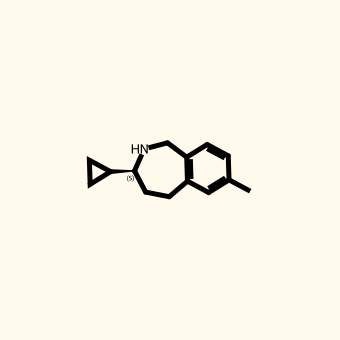 Cc1ccc2c(c1)CC[C@@H](C1CC1)NC2